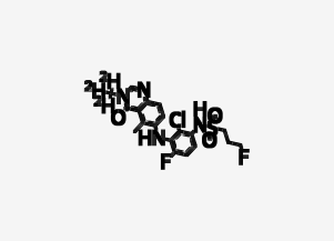 [2H]C([2H])([2H])n1cnc2ccc(Nc3c(F)ccc(NS(=O)(=O)CCCF)c3Cl)c(C)c2c1=O